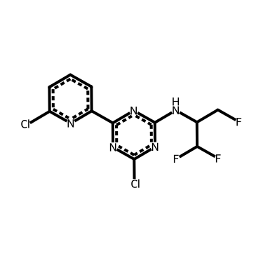 FCC(Nc1nc(Cl)nc(-c2cccc(Cl)n2)n1)C(F)F